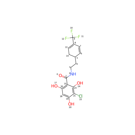 O=C(NCCC1C=CC(C(F)(F)F)=CC1)c1c(O)cc(O)c(Cl)c1O